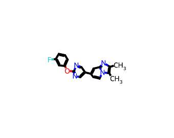 Cc1nc2cc(-c3cnc(Oc4cccc(F)c4)nc3)ccn2c1C